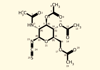 CC(=O)N[C@@H]1[C@@H](OC(C)=O)[C@H](OC(C)=O)[C@@H](COC(C)=O)O[C@H]1N=C=S